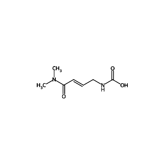 CN(C)C(=O)/C=C/CNC(=O)O